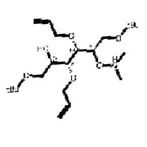 C=CCO[C@@H]([C@H](OCC=C)[C@@H](COC(C)(C)C)O[SiH](C)C)[C@H](O)COC(C)(C)C